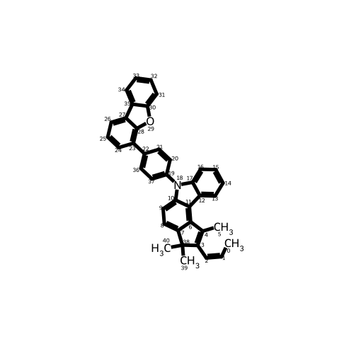 C/C=C\C1=C(C)c2c(ccc3c2c2ccccc2n3-c2ccc(-c3cccc4c3oc3ccccc34)cc2)C1(C)C